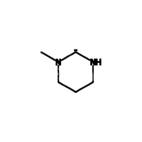 CN1[C]NCCC1